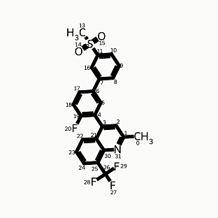 Cc1cc(-c2cc(-c3cccc(S(C)(=O)=O)c3)ccc2F)c2cccc(C(F)(F)F)c2n1